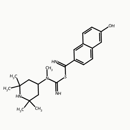 CN(C(=N)SC(=N)c1ccc2cc(O)ccc2c1)C1CC(C)(C)NC(C)(C)C1